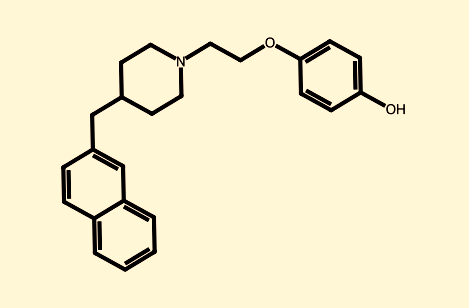 Oc1ccc(OCCN2CCC(Cc3ccc4ccccc4c3)CC2)cc1